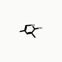 CC1=CNC(O)C(C)=C1